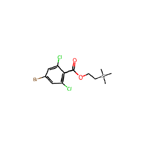 C[Si](C)(C)CCOC(=O)c1c(Cl)cc(Br)cc1Cl